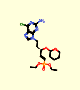 CCOP(=O)(/C=C/[C@H](CCn1cnc2c(Cl)nc(N)nc21)O[C@@H]1CCCCO1)OCC